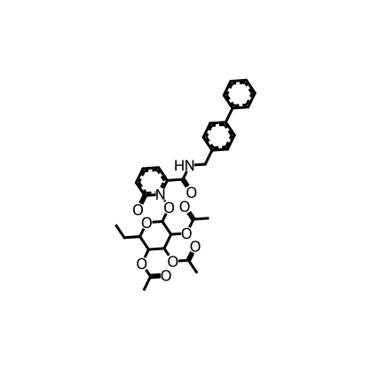 CCC1OC(On2c(C(=O)NCc3ccc(-c4ccccc4)cc3)cccc2=O)C(OC(C)=O)C(OC(C)=O)C1OC(C)=O